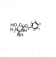 N=C(N)NC(OCc1ccccc1)C(=O)O